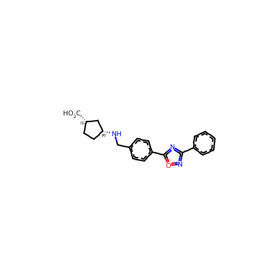 O=C(O)[C@H]1CC[C@@H](NCc2ccc(-c3nc(-c4ccccc4)no3)cc2)C1